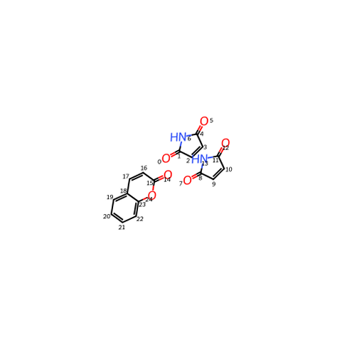 O=C1C=CC(=O)N1.O=C1C=CC(=O)N1.O=c1ccc2ccccc2o1